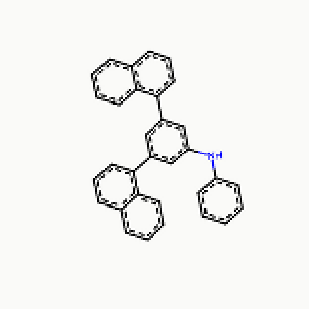 c1ccc(Nc2cc(-c3cccc4ccccc34)cc(-c3cccc4ccccc34)c2)cc1